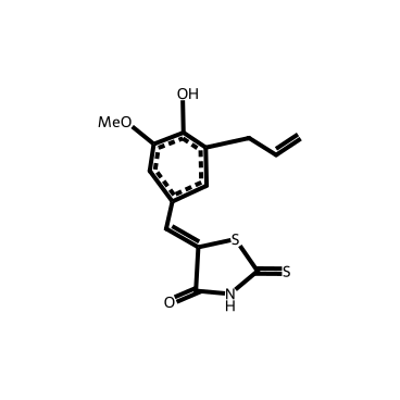 C=CCc1cc(/C=C2\SC(=S)NC2=O)cc(OC)c1O